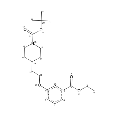 CCOC(=O)c1cccc(OCCC2CCN(C(=O)OC(C)(C)C)CC2)c1